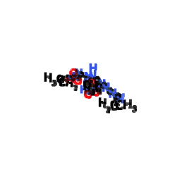 CC(C)c1cc(N2CCC(N3CCN(c4ccc(Nc5nc(-c6ccnc(N7CCn8c(cc9c8CC(C)(C)C9)C7=O)c6CO)cn(C)c5=O)cc4C=CC(=O)NC=O)[C@@H](C)C3)CC2)ccn1